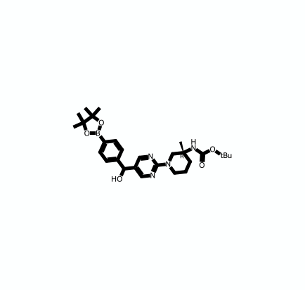 CC(C)(C)OC(=O)N[C@]1(C)CCCN(c2ncc(C(O)c3ccc(B4OC(C)(C)C(C)(C)O4)cc3)cn2)C1